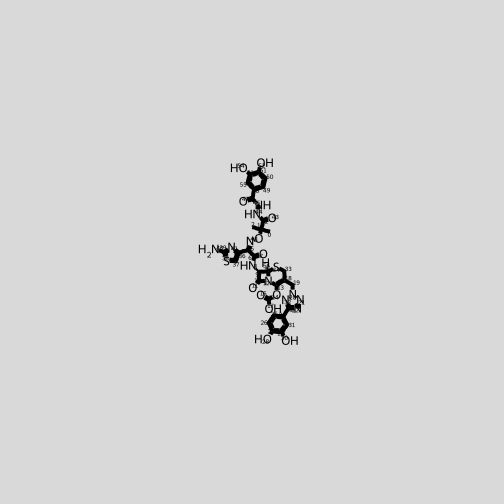 CC(C)(O/N=C(\C(=O)N[C@@H]1C(=O)N2C(OC(=O)O)=C(Cn3nnc(-c4ccc(O)c(O)c4)n3)CS[C@H]12)c1csc(N)n1)C(=O)NNC(=O)c1ccc(O)c(O)c1